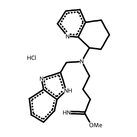 COC(=N)CCCN(Cc1nc2ccccc2[nH]1)C1CCCc2cccnc21.Cl